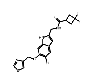 O=C(NCc1cc2cc(Cl)c(OCc3cscn3)cc2[nH]1)C1CC(F)(F)C1